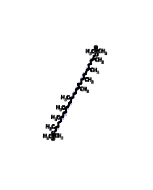 CC(/C=C/C=C(C)/C=C/C=C(\C)CC/C=C(\C)COP(C)(C)=O)=C\C=C\C=C(C)\C=C\C=C(C)\C=C\C=C(/C)CC/C=C(\C)COP(C)(C)=O